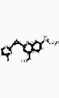 Cc1ccnc(C2CC2c2cc(CO)c3ccc(NC(=O)O)cc3n2)n1